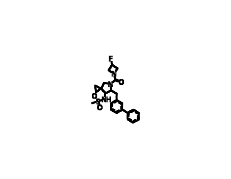 CS(=O)(=O)NC1C(Cc2cccc(-c3ccccc3)c2)N(C(=O)N2CC(F)C2)CC12CC2